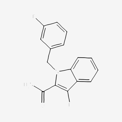 NC(=O)c1c(F)c2ccccc2n1Cc1cccc(F)c1